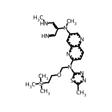 CN/C=C(\C=N)N(C)c1cnc2ccc(N(COCC[Si](C)(C)C)c3nnc(C)s3)nc2c1